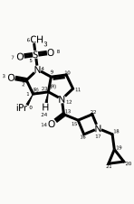 CC(C)[C@H]1C(=O)N(S(C)(=O)=O)C2=CCN(C(=O)C3CN(CC4CC4)C3)[C@@H]21